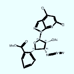 COC(=O)c1ccccc1[C@@H]1O[C@@H](n2ncc3c(Cl)cc(Cl)nc32)[C@H](OC(C)=O)[C@@H]1N=[N+]=[N-]